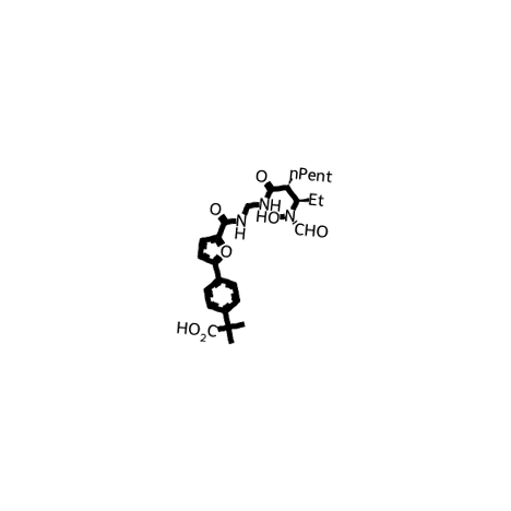 CCCCC[C@@H](C(=O)NCNC(=O)c1ccc(-c2ccc(C(C)(C)C(=O)O)cc2)o1)[C@@H](CC)N(O)C=O